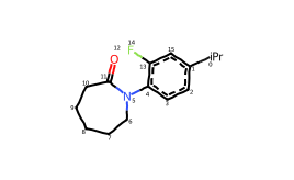 CC(C)c1ccc(N2CCCCCC2=O)c(F)c1